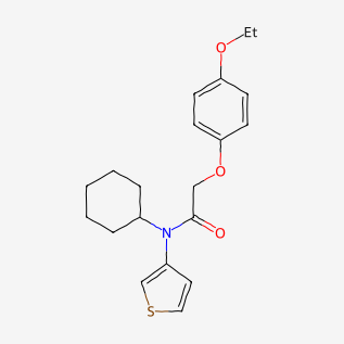 CCOc1ccc(OCC(=O)N(c2ccsc2)C2CCCCC2)cc1